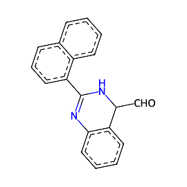 O=CC1NC(c2cccc3ccccc23)=Nc2ccccc21